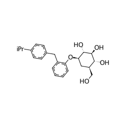 CC(C)c1ccc(Cc2ccccc2O[C@@H]2C[C@H](CO)[C@@H](O)[C@H](O)[C@H]2O)cc1